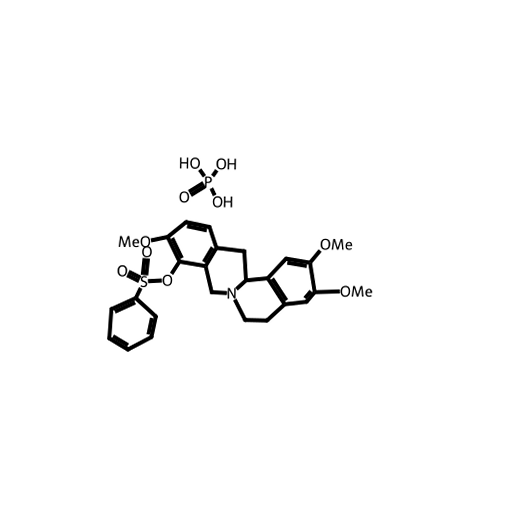 COc1cc2c(cc1OC)C1Cc3ccc(OC)c(OS(=O)(=O)c4ccccc4)c3CN1CC2.O=P(O)(O)O